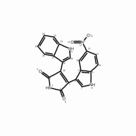 O=C1NC(=O)C(c2c[nH]c3ccc([N+](=O)[O-])cc23)=C1c1c[nH]c2ccccc12